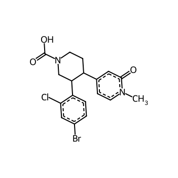 Cn1ccc(C2CCN(C(=O)O)CC2c2ccc(Br)cc2Cl)cc1=O